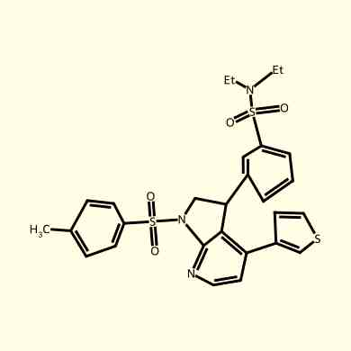 CCN(CC)S(=O)(=O)c1cccc(C2CN(S(=O)(=O)c3ccc(C)cc3)c3nccc(-c4ccsc4)c32)c1